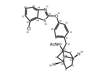 CC(=O)NC1C[C@H]2CC[C@@H](C1)N2CCc1ccc(Oc2nc3cccc(Cl)c3s2)cc1